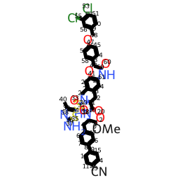 COC(=O)C(Cc1ccc(-c2ccc(C#N)cc2)cc1)NC(=O)C1Cc2cc3c(cc2CN1S(=O)(=O)c1sc(N)nc1C)OC(c1ccc(OCc2ccc(Cl)c(Cl)c2)cc1)C(=O)N3